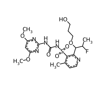 COc1cc(OC)nc(NC(=O)NS(=O)(=O)c2c(C)ccnc2C(OCCCO)C(C)F)n1